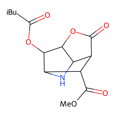 CCC(C)C(=O)OC1C2NC3C1OC(=O)C3C2C(=O)OC